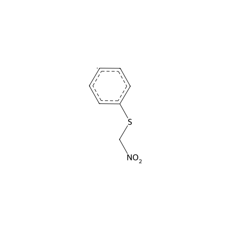 O=[N+]([O-])CSc1cc[c]cc1